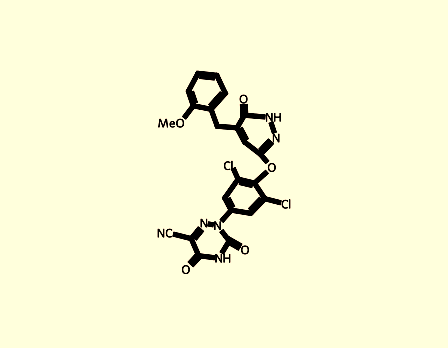 COc1ccccc1Cc1cc(Oc2c(Cl)cc(-n3nc(C#N)c(=O)[nH]c3=O)cc2Cl)n[nH]c1=O